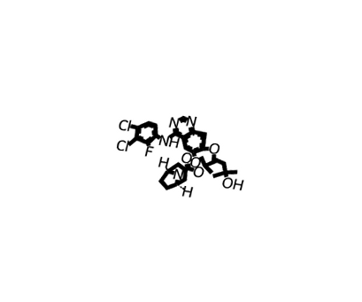 CC(C)(O)CCOc1cc2ncnc(Nc3ccc(Cl)c(Cl)c3F)c2cc1O[C@@H]1C[C@H]2CC[C@@H](C1)N2C(=O)OC(C)(C)C